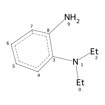 CCN(CC)c1ccc[c]c1N